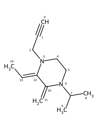 C#CCN1CCN(C(C)C)C(=C)/C1=C/C